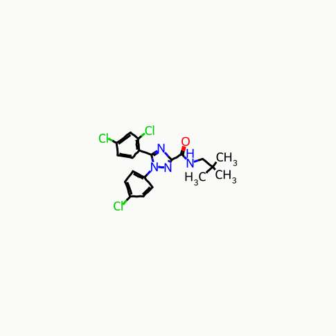 CC(C)(C)CNC(=O)c1nc(-c2ccc(Cl)cc2Cl)n(-c2ccc(Cl)cc2)n1